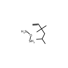 C=CC(C)(C)CC(C)C.[SiH3]O[SiH3]